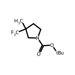 CC(C)(C)OC(=O)N1CCC(C)(C(F)(F)F)C1